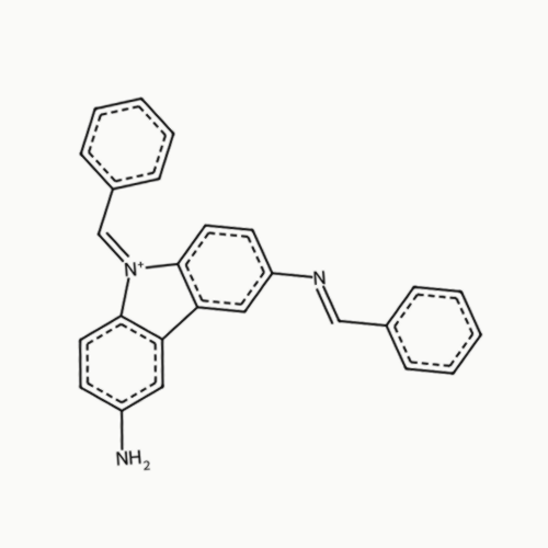 Nc1ccc2c(c1)-c1cc(N=Cc3ccccc3)ccc1[N+]2=Cc1ccccc1